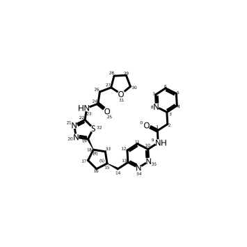 O=C(Cc1ccccn1)Nc1ccc(C[C@H]2CC[C@@H](c3nnc(NC(=O)CC4CCCO4)s3)C2)nn1